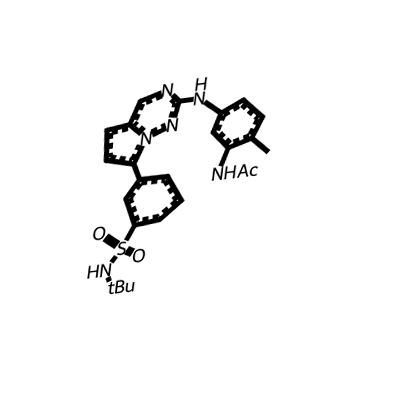 CC(=O)Nc1cc(Nc2ncc3ccc(-c4cccc(S(=O)(=O)NC(C)(C)C)c4)n3n2)ccc1C